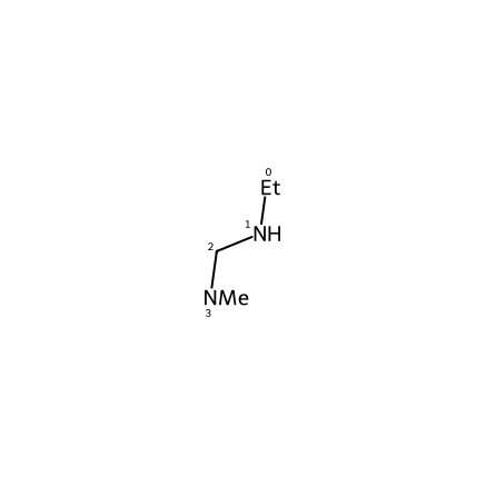 [CH2]CNCN[CH2]